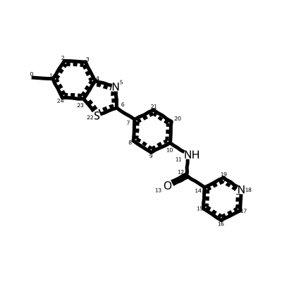 Cc1ccc2nc(-c3ccc(NC(=O)c4cccnc4)cc3)sc2c1